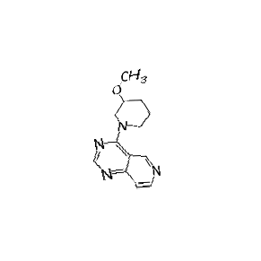 COC1CCCN(c2ncnc3ccncc23)C1